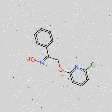 ON=C(COc1cccc(Cl)n1)c1ccccc1